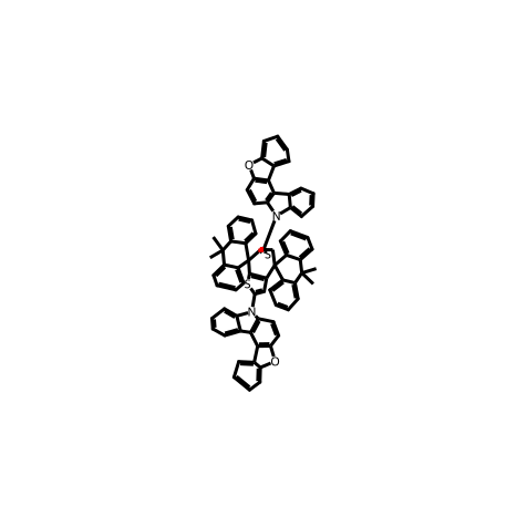 CC1(C)c2ccccc2C2(c3ccccc31)c1cc(-n3c4ccccc4c4c5c(ccc43)oc3ccccc35)sc1C1(c3ccccc3C(C)(C)c3ccccc31)c1cc(-n3c4ccccc4c4c5c(ccc43)oc3ccccc35)sc12